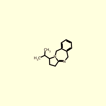 CC(C)C1CCC2=NCc3ccccc3CN21